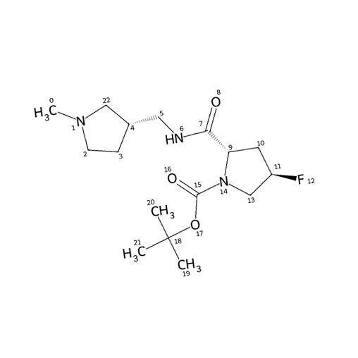 CN1CC[C@@H](CNC(=O)[C@@H]2C[C@@H](F)CN2C(=O)OC(C)(C)C)C1